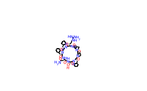 N=C(N)NCCC[C@@H]1NC(=O)[C@@H]2CCCN2C(=O)[C@H]2CCCN2C(=O)[C@H](Cc2ccccc2)NC(=O)[C@H](CO)NC(=O)[C@H](CC(N)=O)NC(=O)[C@H](Cc2ccccc2)NC(=O)[C@H](Cc2ccccc2)NC1=O